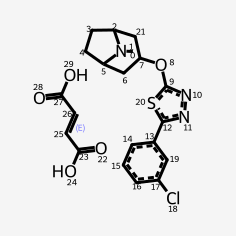 CN1C2CCC1CC(Oc1nnc(-c3cccc(Cl)c3)s1)C2.O=C(O)/C=C/C(=O)O